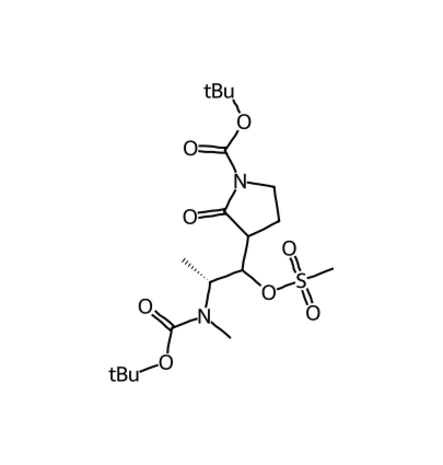 C[C@H](C(OS(C)(=O)=O)C1CCN(C(=O)OC(C)(C)C)C1=O)N(C)C(=O)OC(C)(C)C